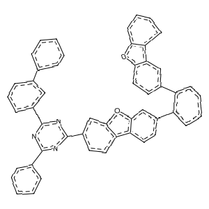 c1ccc(-c2cccc(-c3nc(-c4ccccc4)nc(-c4ccc5c(c4)oc4cc(-c6ccccc6-c6ccc7oc8ccccc8c7c6)ccc45)n3)c2)cc1